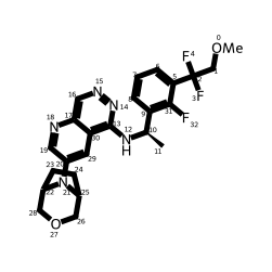 COCC(F)(F)c1cccc([C@@H](C)Nc2nncc3ncc(N4C5CCC4COC5)cc23)c1F